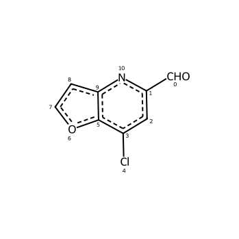 O=Cc1cc(Cl)c2occc2n1